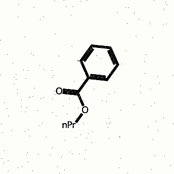 CCCOC(=O)c1[c]cccc1